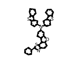 c1ccc(-c2nc3ccc4oc5cc(N(c6ccc7sc8ccccc8c7c6)c6ccc7sc8ccccc8c7c6)ccc5c4c3s2)cc1